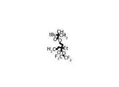 C=CCC(CC)(CCOC(=O)C(C)(C)C(C)(C)C)C(=O)OC(C(F)(F)F)C(F)(F)F